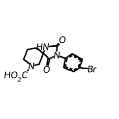 O=C(O)N1CCCC2(C1)NC(=O)N(c1ccc(Br)cc1)C2=O